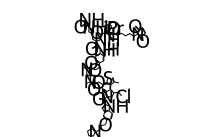 Cc1csc2c(OC(=O)N(C)CCN(C)C(=O)OCc3ccc(NC(=O)C(CCCNC(N)=O)NC(=O)C(NC(=O)CCCCCN4C(=O)C=CC4=O)C(C)C)cc3)cc3c(c12)C(CCl)CN3C(=O)c1cc2cc(OCCN3CCCC3)ccc2[nH]1